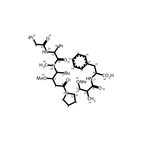 CCC(C)C(C(CC(=O)N1CCC[C@H]1C(OC)C(C)C(=O)NC(Cc1ccccc1)C(=O)O)OC)N(C)C(=O)C(NC(=O)CC(C)C)C(C)C